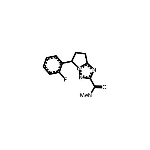 CNC(=O)c1nc2n(n1)C(c1ccccc1F)CC2